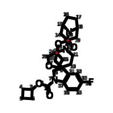 O=C(OC1CCC1)N1CC2(CCN(C3CC4CCC(C3)N4C(=O)O[C@H]3CCOC3)CC2)c2cc(F)ccc21